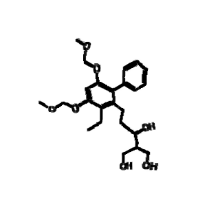 CCc1c(OCOC)cc(OCOC)c(-c2ccccc2)c1CCC(O)C(CO)CO